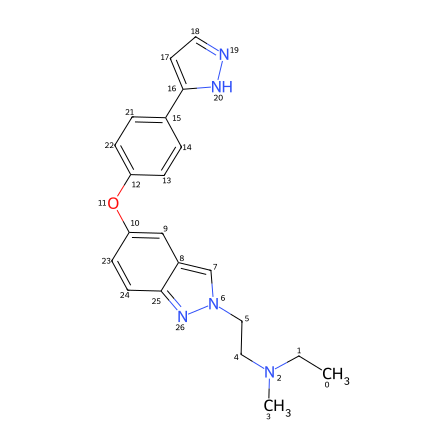 CCN(C)CCn1cc2cc(Oc3ccc(-c4ccn[nH]4)cc3)ccc2n1